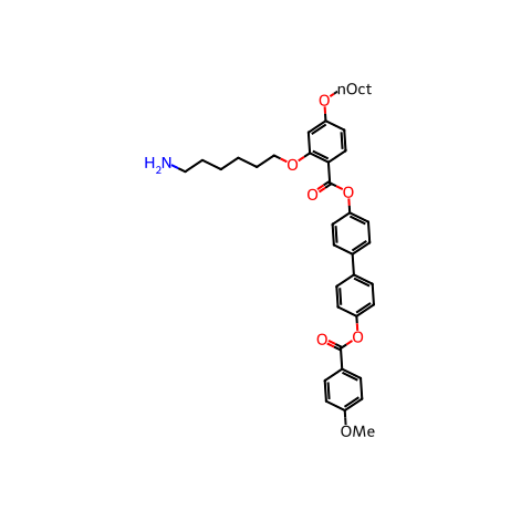 CCCCCCCCOc1ccc(C(=O)Oc2ccc(-c3ccc(OC(=O)c4ccc(OC)cc4)cc3)cc2)c(OCCCCCCN)c1